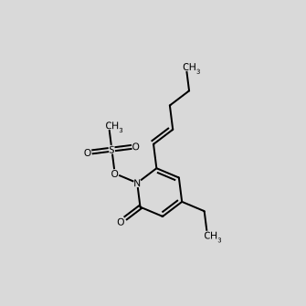 CCCC=Cc1cc(CC)cc(=O)n1OS(C)(=O)=O